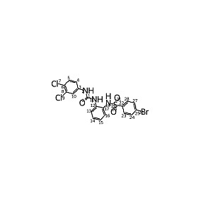 O=C(Nc1ccc(Cl)c(Cl)c1)Nc1ccccc1NS(=O)(=O)c1ccc(Br)cc1